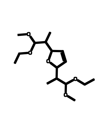 CCOC(OC)C(C)C1C=CC(C(C)C(OC)OCC)O1